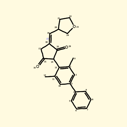 Cc1cc(-c2ccccc2)cc(C)c1C1C(=O)C/C(=C/C2CCOC2)C1=O